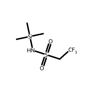 C[Si](C)(C)NS(=O)(=O)CC(F)(F)F